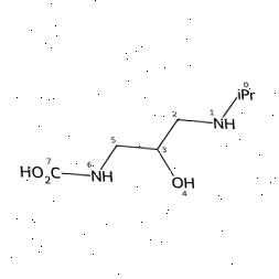 CC(C)NCC(O)CNC(=O)O